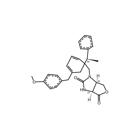 COc1ccc(CC2=CC=CC(CN3C(=O)N[C@@H]4C(=O)OC[C@@H]43)([C@H](C)c3ccccc3)C2)cc1